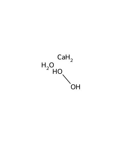 O.OO.[CaH2]